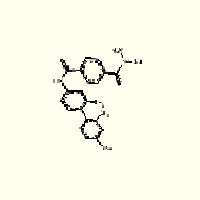 C=C(Nc1ccc(-c2ccc(C(C)(C)C)cc2C(F)(F)F)c(C(F)(F)F)c1)c1ccc(C(=C)N(N)C(C)(C)C)cc1